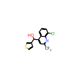 OC(c1ccsc1)c1cc(C(F)(F)F)nc2c(Cl)cccc12